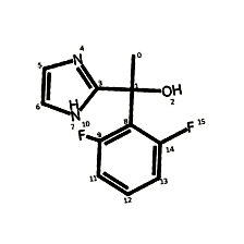 CC(O)(c1ncc[nH]1)c1c(F)cccc1F